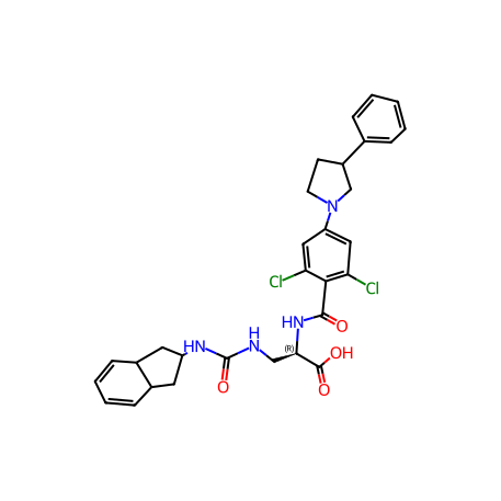 O=C(NC[C@@H](NC(=O)c1c(Cl)cc(N2CCC(c3ccccc3)C2)cc1Cl)C(=O)O)NC1CC2C=CC=CC2C1